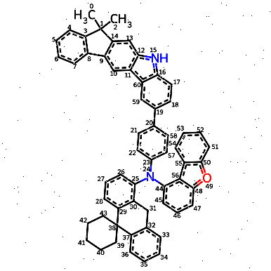 CC1(C)c2ccccc2-c2cc3c(cc21)[nH]c1ccc(-c2ccc(N(c4cccc5c4Cc4ccccc4C54CCCCC4)c4cccc5oc6ccccc6c45)cc2)cc13